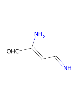 N=C/C=C(\N)C=O